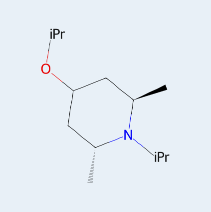 CC(C)OC1C[C@@H](C)N(C(C)C)[C@H](C)C1